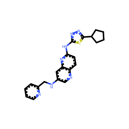 c1ccc(CNc2cnc3ccc(Nc4nnc(C5CCCC5)s4)nc3c2)nc1